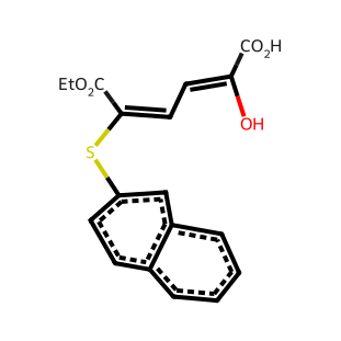 CCOC(=O)C(=CC=C(O)C(=O)O)Sc1ccc2ccccc2c1